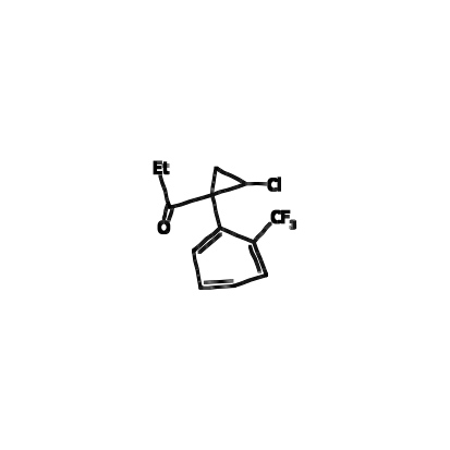 CCC(=O)C1(c2ccccc2C(F)(F)F)CC1Cl